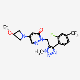 CCOC1CN(c2cnn(Cc3c(-c4ccc(C(F)(F)F)cc4F)nnn3C)c(=O)c2)C1